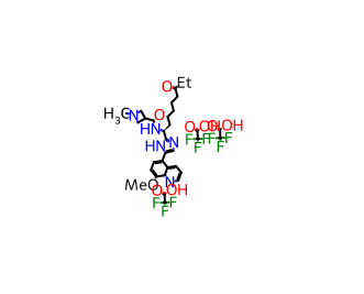 CCC(=O)CCCCC[C@H](NC(=O)C1CN(C)C1)c1ncc(-c2ccc(OC)c3ncccc23)[nH]1.O=C(O)C(F)(F)F.O=C(O)C(F)(F)F.O=C(O)C(F)(F)F